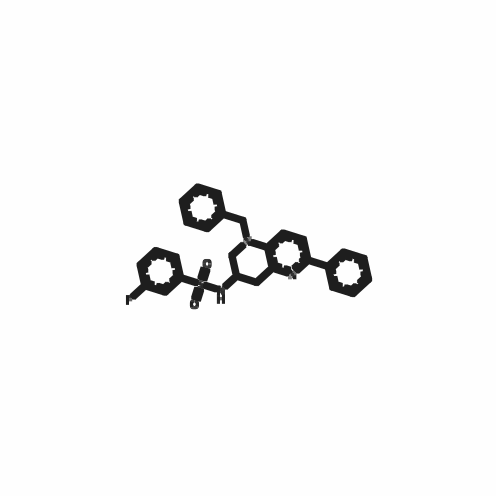 O=S(=O)(NC1Cc2nc(-c3ccccc3)ccc2N(Cc2ccccc2)C1)c1cccc(F)c1